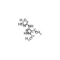 CCC(=NO)Nc1n[nH]c(CC)c1CC